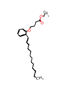 CCCCCCCCCCCC=Cc1ccccc1OCCCC(=O)OCC